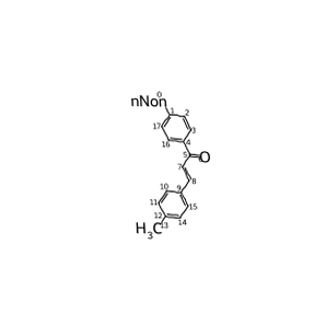 CCCCCCCCCc1ccc(C(=O)C=Cc2ccc(C)cc2)cc1